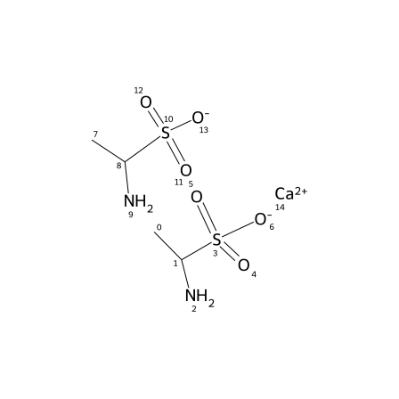 CC(N)S(=O)(=O)[O-].CC(N)S(=O)(=O)[O-].[Ca+2]